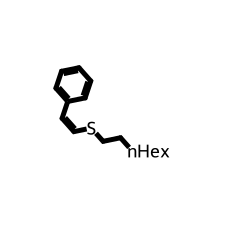 CCCCCCCCS/C=C\c1ccccc1